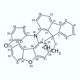 CCC1(CC)c2ccccc2-c2cccc(N(c3cccc(Cl)c3)c3cccc4oc5ccccc5c34)c21